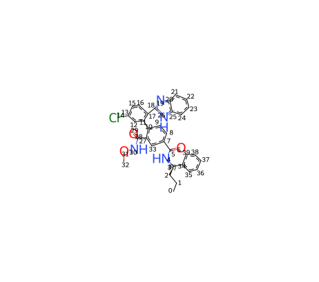 CCC[C@@H](NC(=O)c1ccc(-c2cc(Cl)ccc2-c2nc3ccccc3[nH]2)c(C(=O)NOC)c1)c1ccccc1